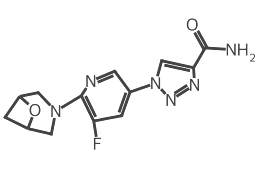 NC(=O)c1cn(-c2cnc(N3CC4CC(C3)O4)c(F)c2)nn1